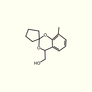 Cc1cccc2c1OC1(CCCC1)OC2CO